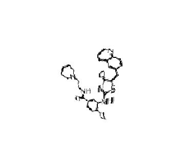 O=C1N=C(Nc2cc(C(=O)NCCN3CCCCC3)ccc2Cl)SC1=Cc1ccc2ncccc2c1